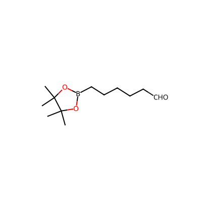 CC1(C)OB(CCCCCC=O)OC1(C)C